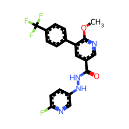 COc1ncc(C(=O)NNc2ccc(F)nc2)cc1-c1ccc(C(F)(F)F)cc1